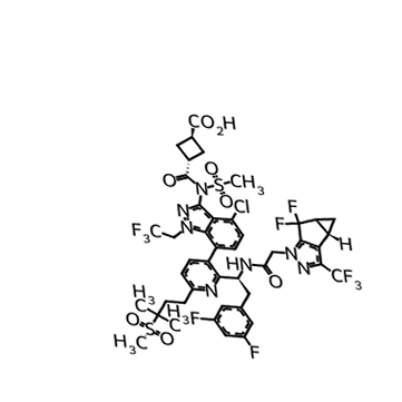 CC(C)(CCc1ccc(-c2ccc(Cl)c3c(N(C(=O)[C@H]4C[C@H](C(=O)O)C4)S(C)(=O)=O)nn(CC(F)(F)F)c23)c([C@H](Cc2cc(F)cc(F)c2)NC(=O)Cn2nc(C(F)(F)F)c3c2C(F)(F)C2C[C@H]32)n1)S(C)(=O)=O